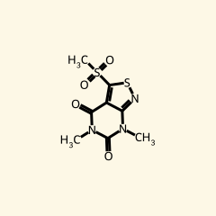 Cn1c(=O)c2c(S(C)(=O)=O)snc2n(C)c1=O